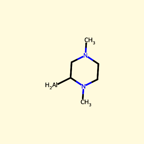 CN1CCN(C)[CH]([AlH2])C1